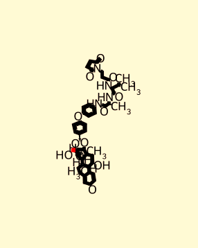 CC(C)[C@H](NC(=O)CCN1C(=O)C=CC1=O)C(=O)N[C@@H](C)C(=O)Nc1ccc(Oc2ccc([C@@H]3O[C@@H]4C[C@H]5[C@@H]6CCC7=CC(=O)C=C[C@]7(C)[C@H]6[C@@H](O)C[C@]5(C)[C@]4(C(=O)CO)O3)cc2)cc1